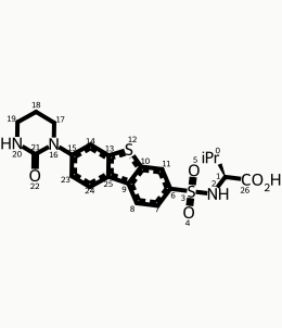 CC(C)[C@H](NS(=O)(=O)c1ccc2c(c1)sc1cc(N3CCCNC3=O)ccc12)C(=O)O